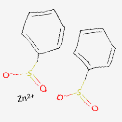 O=S([O-])c1ccccc1.O=S([O-])c1ccccc1.[Zn+2]